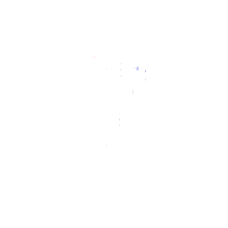 CCCCCC(CC)CC(C)(N)C(=O)O